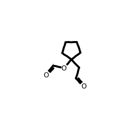 O=[C]OC1(CC=O)CCCC1